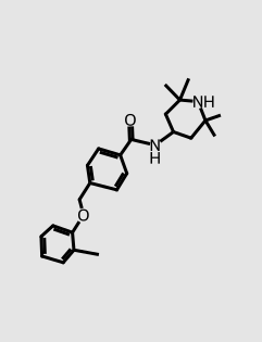 Cc1ccccc1OCc1ccc(C(=O)NC2CC(C)(C)NC(C)(C)C2)cc1